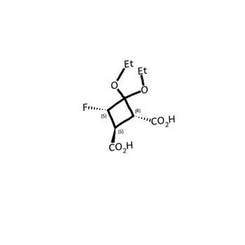 CCOC1(OCC)[C@H](C(=O)O)[C@@H](C(=O)O)[C@@H]1F